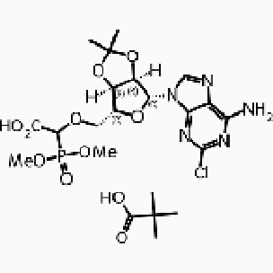 CC(C)(C)C(=O)O.COP(=O)(OC)C(OC[C@H]1O[C@@H](n2cnc3c(N)nc(Cl)nc32)[C@@H]2OC(C)(C)O[C@@H]21)C(=O)O